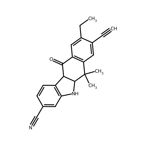 C#Cc1cc2c(cc1CC)C(=O)C1c3ccc(C#N)cc3NC1C2(C)C